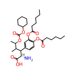 CCCCCC(=O)Oc1ccc(C(C(C)C(C)OC(=O)OC2CCCCC2)[C@H](N)C(=O)O)cc1OC(=O)CCCCC